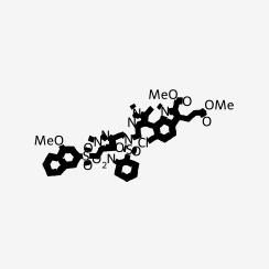 COC(=O)CCc1c(C(=O)OC)n(C)c2c(-c3c(CN(Cc4cc(CS(=O)(=O)c5cc(OC)c6ccccc6c5)n(C)n4)S(=O)(=O)c4ccccc4[N+](=O)[O-])nn(C)c3C)c(Cl)ccc12